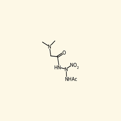 CC(=O)NN(NC(=O)CN(C)C)[N+](=O)[O-]